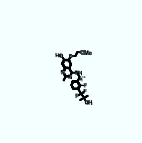 COCCOc1cc2c(N[C@H](C)c3cccc(C(F)(F)C(C)(C)O)c3F)nc(C)nc2cc1O